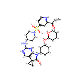 COC(=O)c1cc(S(=O)(=O)N2CCC(Nc3ncc4c(n3)N([C@@H]3CCC[C@@H](OC5CCCCO5)C3)C(=O)C43CC3)CC2)ccn1